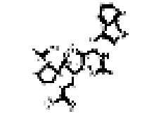 CC(=O)N[C@@H](Cc1c[nH]c2ccccc12)C(=O)N[C@@H](CCC(N)=O)C(=O)C1CCC[C@H]1C(C)=O